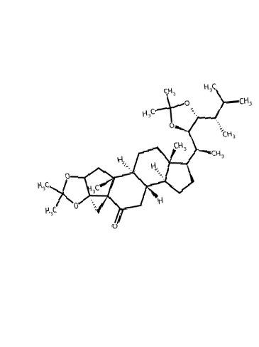 CC(C)[C@H](C)[C@H]1OC(C)(C)O[C@@H]1[C@@H](C)[C@H]1CC[C@H]2[C@@H]3CC(=O)[C@]45C[C@@]46OC(C)(C)OC6C[C@]5(C)[C@H]3CC[C@]12C